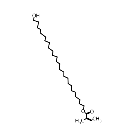 CC=C(C)C(=O)OCCCCCCCCCCCCCCCCCCCCCCCCCCO